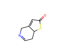 O=C1C=C2CN=CCC2S1